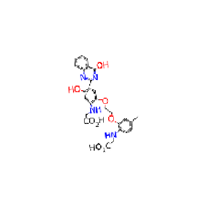 Cc1ccc(NCC(=O)O)c(OCCOc2cc(-c3nc(O)c4ccccc4n3)c(O)cc2NCC(=O)O)c1